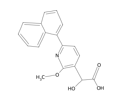 COc1nc(-c2cccc3ccccc23)ccc1C(O)C(=O)O